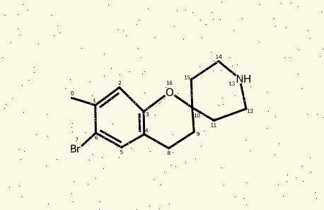 Cc1cc2c(cc1Br)CCC1(CCNCC1)O2